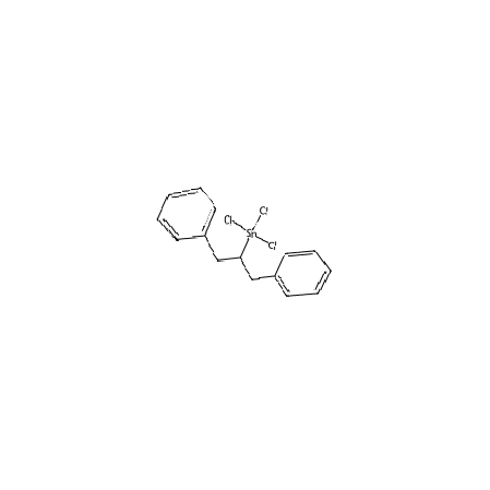 [Cl][Sn]([Cl])([Cl])[CH](Cc1ccccc1)Cc1ccccc1